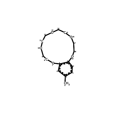 Cc1ccc2c(c1)OCCOCCOCCOCCO2